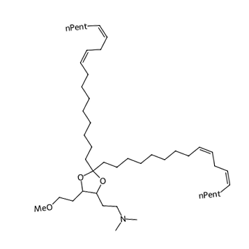 CCCCC/C=C\C/C=C\CCCCCCCCC1(CCCCCCCC/C=C\C/C=C\CCCCC)OC(CCOC)C(CCN(C)C)O1